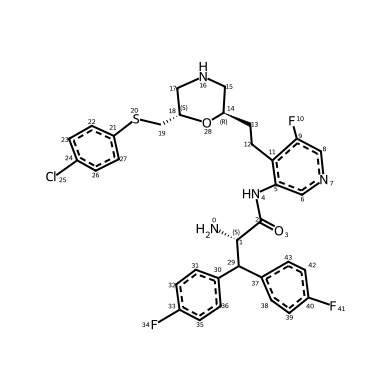 N[C@H](C(=O)Nc1cncc(F)c1CC[C@@H]1CNC[C@@H](CSc2ccc(Cl)cc2)O1)C(c1ccc(F)cc1)c1ccc(F)cc1